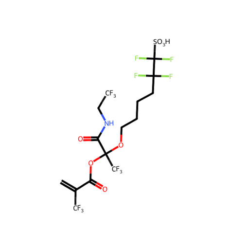 C=C(C(=O)OC(OCCCCC(F)(F)C(F)(F)S(=O)(=O)O)(C(=O)NCC(F)(F)F)C(F)(F)F)C(F)(F)F